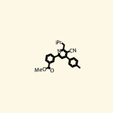 COC(=O)c1cccc(-c2cc(-c3ccc(C)cc3)c(C#N)c(CC(C)C)n2)c1